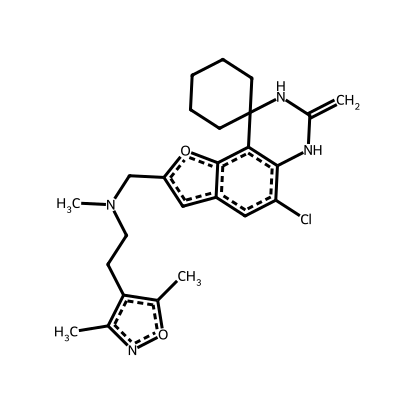 C=C1Nc2c(Cl)cc3cc(CN(C)CCc4c(C)noc4C)oc3c2C2(CCCCC2)N1